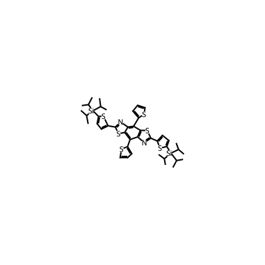 CC(C)[Si](c1ccc(-c2nc3c(-c4cccs4)c4sc(-c5ccc([Si](C(C)C)(C(C)C)C(C)C)s5)nc4c(-c4cccs4)c3s2)s1)(C(C)C)C(C)C